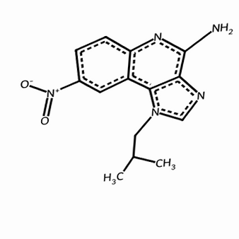 CC(C)Cn1cnc2c(N)nc3ccc([N+](=O)[O-])cc3c21